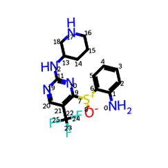 Nc1ccccc1[S+]([O-])c1nc(NC2CCCNC2)ncc1C(F)(F)F